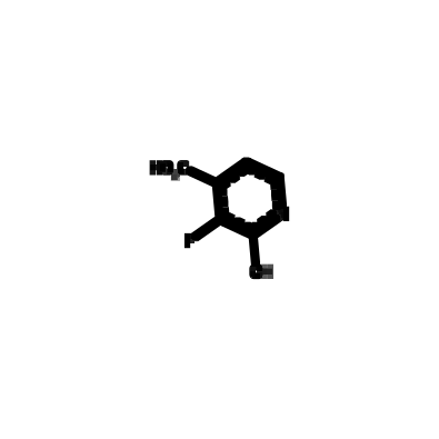 O=C(O)c1ccnc(O)c1F